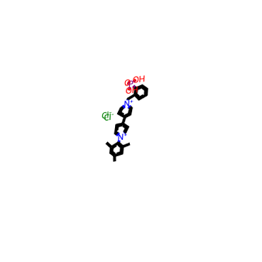 Cc1cc(C)c(-[n+]2ccc(-c3cc[n+](Cc4ccccc4P(=O)(O)O)cc3)cc2)c(C)c1.[Cl-].[Cl-]